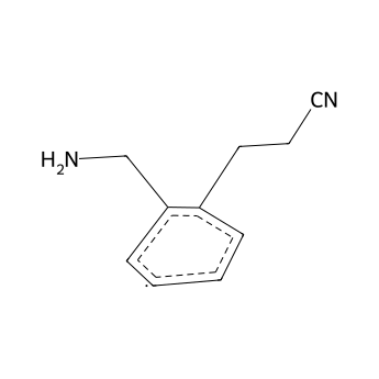 N#CCCc1cc[c]cc1CN